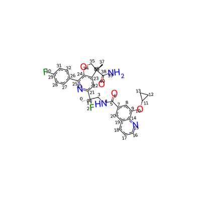 C[C@@](F)(CNC(=O)c1cc(OC2CC2)c2ncccc2c1)c1cc2c(c(-c3ccc(F)cc3)n1)OC[C@]2(C)C(N)=O